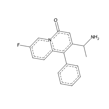 CC(N)c1cc(=O)n2cc(F)ccc2c1-c1ccccc1